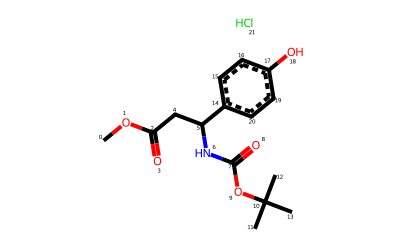 COC(=O)CC(NC(=O)OC(C)(C)C)c1ccc(O)cc1.Cl